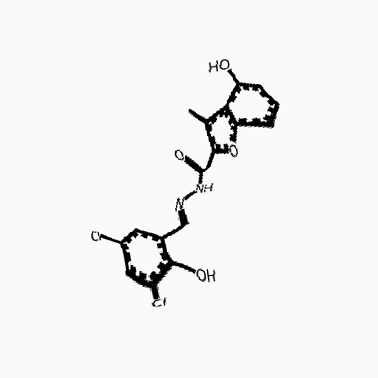 Cc1c(C(=O)NN=Cc2cc(Cl)cc(Cl)c2O)oc2cccc(O)c12